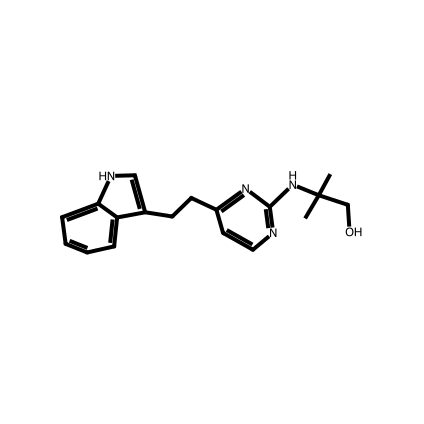 CC(C)(CO)Nc1nccc(CCc2c[nH]c3ccccc23)n1